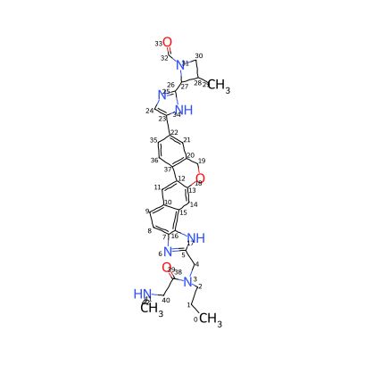 CCCN(Cc1nc2ccc3cc4c(cc3c2[nH]1)OCc1cc(-c2cnc(C3C(C)CN3C=O)[nH]2)ccc1-4)C(=O)CNC